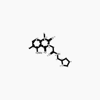 COc1c(C)cnc2c1c(=O)n(CC(=O)NCC1CCCO1)c(=O)n2C